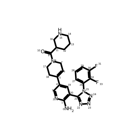 Nc1ncc(C2=CCN(C(=O)C3CCCNC3)CC2)cc1-c1nnnn1-c1cccc(F)c1F